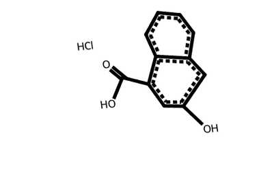 Cl.O=C(O)c1cc(O)cc2ccccc12